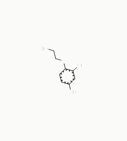 Cc1cc(S)ccc1OCCO